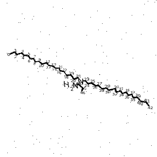 CCCCCCCCCCCCCCCCCCCCCCN(CCCCCCCCCCCCCCCCCCCC)C(N)CC